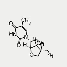 [2H]C[C@@]12CO[C@@H]([C@H](n3cc(C)c(=O)[nH]c3=O)CO1)[C@@H]2O